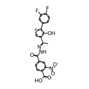 C/C(=N\NC(=O)c1ccc(C(=O)O)c([N+](=O)[O-])c1)c1csc(-c2ccc(F)c(F)c2)c1O